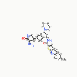 CC(C)(C)[C@H]1CCc2nc3sc(C(=O)NC(CCN4CCCCC4)c4ccc(-c5cnc(O)c(N)c5)cc4)cc3cc2C1